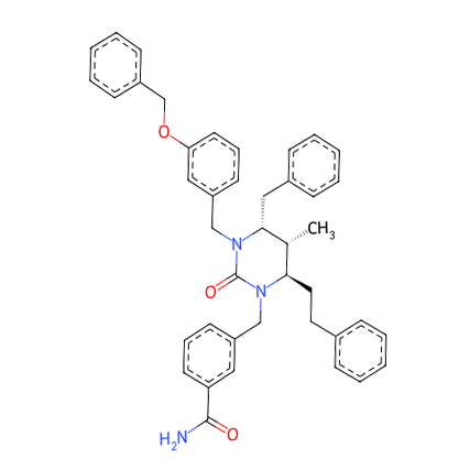 C[C@@H]1[C@@H](CCc2ccccc2)N(Cc2cccc(C(N)=O)c2)C(=O)N(Cc2cccc(OCc3ccccc3)c2)[C@@H]1Cc1ccccc1